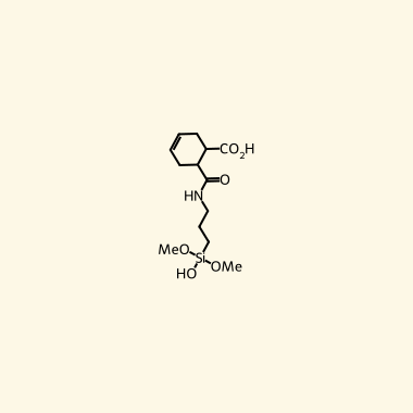 CO[Si](O)(CCCNC(=O)C1CC=CCC1C(=O)O)OC